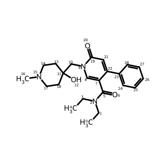 CCN(CC)C(=O)c1cn(CC2(O)CCN(C)CC2)c(=O)cc1-c1ccccc1